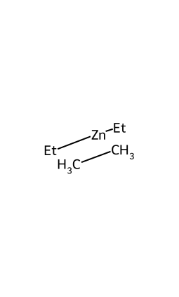 CC.C[CH2][Zn][CH2]C